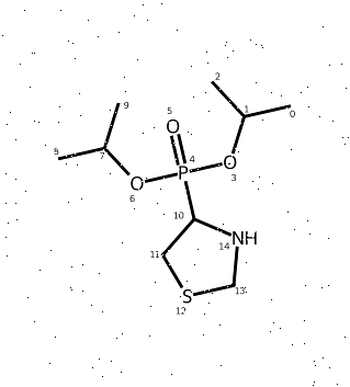 CC(C)OP(=O)(OC(C)C)C1CSCN1